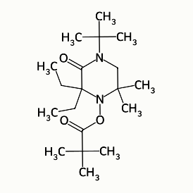 CCC1(CC)C(=O)N(C(C)(C)C)CC(C)(C)N1OC(=O)C(C)(C)C